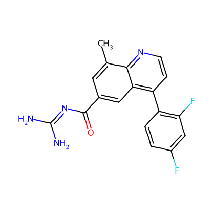 Cc1cc(C(=O)N=C(N)N)cc2c(-c3ccc(F)cc3F)ccnc12